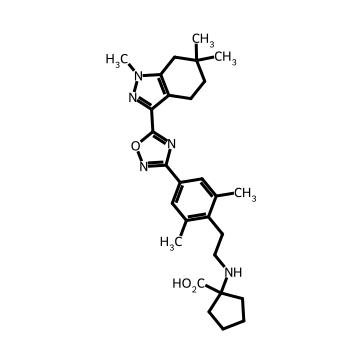 Cc1cc(-c2noc(-c3nn(C)c4c3CCC(C)(C)C4)n2)cc(C)c1CCNC1(C(=O)O)CCCC1